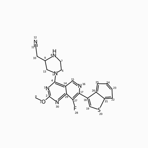 COc1nc(N2CCNC(CC#N)C2)c2cnc(-c3csc4ccccc34)c(F)c2n1